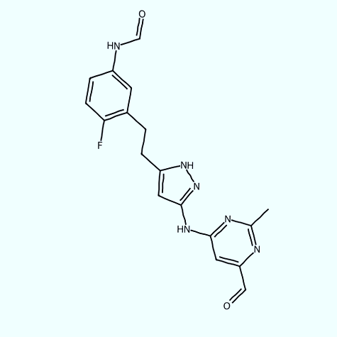 Cc1nc(C=O)cc(Nc2cc(CCc3cc(NC=O)ccc3F)[nH]n2)n1